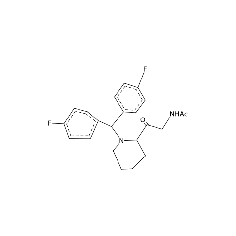 CC(=O)NCC(=O)C1CCCCN1C(c1ccc(F)cc1)c1ccc(F)cc1